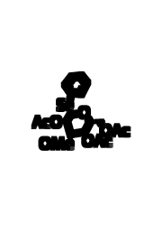 CO[C@@H]1[C@@H](OC(C)=O)[C@H]([Se]c2ccccc2)O[C@H](COC(C)=O)[C@H]1OC(C)=O